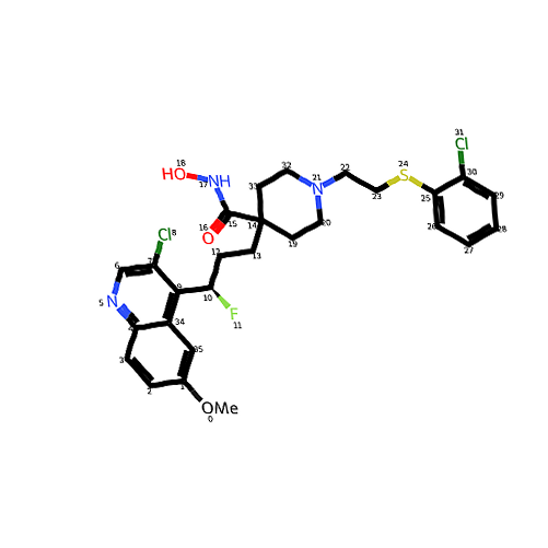 COc1ccc2ncc(Cl)c([C@H](F)CCC3(C(=O)NO)CCN(CCSc4ccccc4Cl)CC3)c2c1